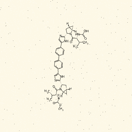 COC(=O)N[C@@H](C(=O)N1[C@H](c2ncc(-c3ccc(-c4ccc(-c5cnc([C@@H]6C[C@@H]7C[C@@H]7N6C(=O)[C@H](NC(=O)O)C(C)C)[nH]5)cc4)cc3)[nH]2)C[C@@H]2C[C@@H]21)C(C)C